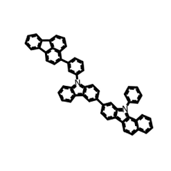 c1ccc(-n2c3cc(-c4ccc5c(c4)c4ccccc4n5-c4cccc(-c5ccc6c7c(cccc57)-c5ccccc5-6)c4)ccc3c3ccc4ccccc4c32)cc1